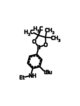 CCNc1ccc(B2OC(C)(C)C(C)(C)O2)cc1C(C)(C)C